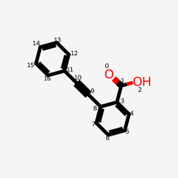 O=C(O)c1ccccc1C#Cc1ccccc1